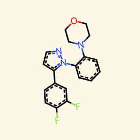 Fc1ccc(-c2ccnn2-c2ccccc2N2CCOCC2)cc1F